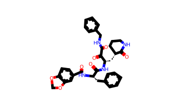 O=C(NCc1ccccc1)C(=O)[C@H](C[C@@H]1CCCNC1=O)NC(=O)[C@H](Cc1ccccc1)NC(=O)c1ccc2c(c1)OCO2